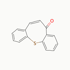 O=C1/C=C\c2ccccc2Sc2ccccc21